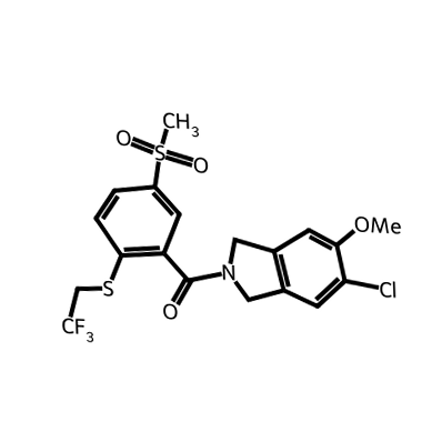 COc1cc2c(cc1Cl)CN(C(=O)c1cc(S(C)(=O)=O)ccc1SCC(F)(F)F)C2